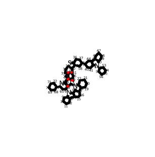 c1ccc(-c2cc(-n3c4ccccc4c4ccc5c6ccccc6n(-c6cccc(-c7ccc8sc9ccc(-c%10ccc%11c(c%10)c%10ccccc%10n%11-c%10ccccc%10)cc9c8c7)n6)c5c43)cc(-c3ccccc3)n2)cc1